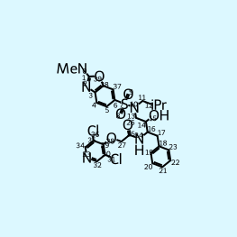 CNc1nc2ccc(S(=O)(=O)N(CC(C)C)CC(O)C(Cc3ccccc3)NC(=O)COc3c(Cl)cncc3Cl)cc2o1